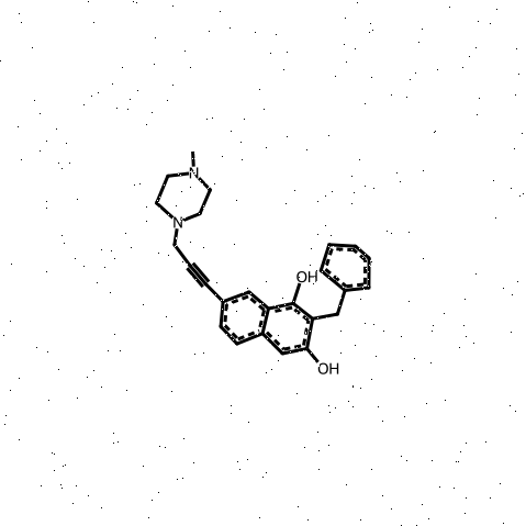 CN1CCN(CC#Cc2ccc3cc(O)c(Cc4ccccc4)c(O)c3c2)CC1